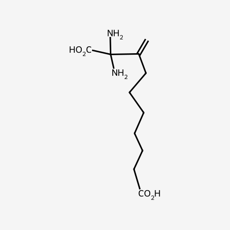 C=C(CCCCCCC(=O)O)C(N)(N)C(=O)O